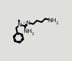 CN(Cc1ccccc1)/C(N)=N/CCCCN